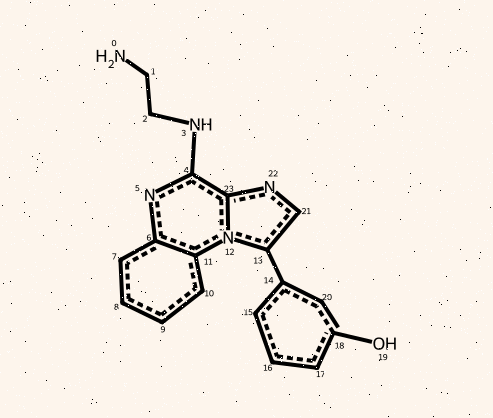 NCCNc1nc2ccccc2n2c(-c3cccc(O)c3)cnc12